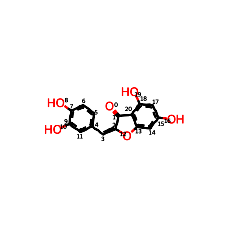 O=C1C(=Cc2ccc(O)c(O)c2)Oc2cc(O)cc(O)c21